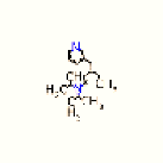 CCC([CH]c1cccnc1)CCN(C(C)C)C(C)C